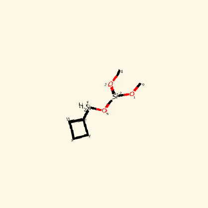 CO[Si](OC)O[SiH2]C1CCC1